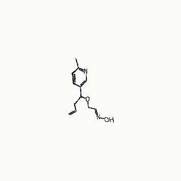 C=CCC(OCC=NO)c1ccc(C)nc1